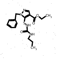 CCCNC(=O)NSc1c(C(=O)OCC)cnn1Cc1ccccc1